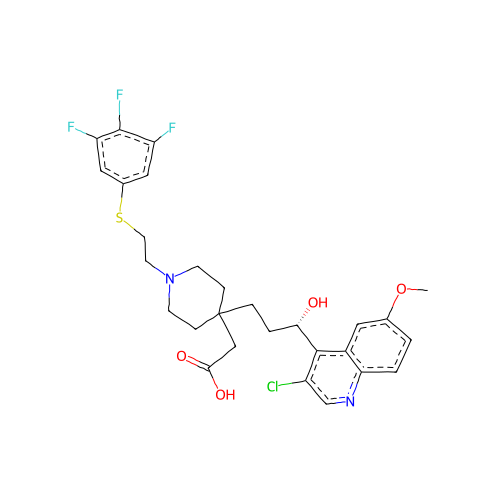 COc1ccc2ncc(Cl)c([C@@H](O)CCC3(CC(=O)O)CCN(CCSc4cc(F)c(F)c(F)c4)CC3)c2c1